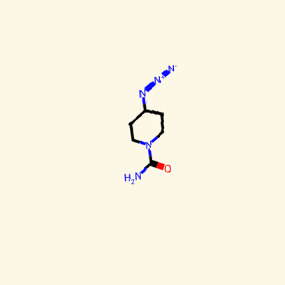 [N-]=[N+]=NC1CCN(C(N)=O)CC1